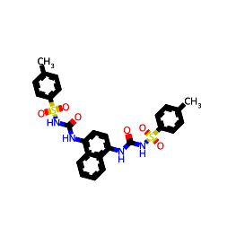 Cc1ccc(S(=O)(=O)NC(=O)Nc2ccc(NC(=O)NS(=O)(=O)c3ccc(C)cc3)c3ccccc23)cc1